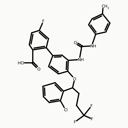 Cc1ccc(NC(=O)Nc2cc(-c3cc(F)ccc3C(=O)O)ccc2OC(CCC(F)(F)F)c2ccccc2Cl)cc1